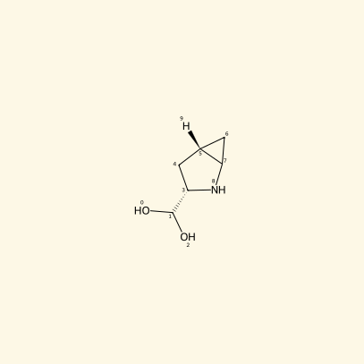 OC(O)[C@@H]1C[C@@H]2CC2N1